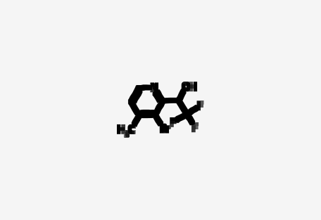 Cc1ccnc(C(O)C(F)(F)F)c1Br